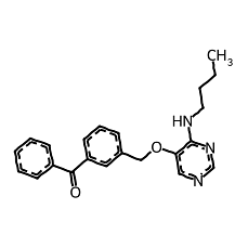 CCCCNc1ncncc1OCc1cccc(C(=O)c2ccccc2)c1